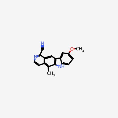 COc1ccc2[nH]c3c(C)c4ccnc(C#N)c4cc3c2c1